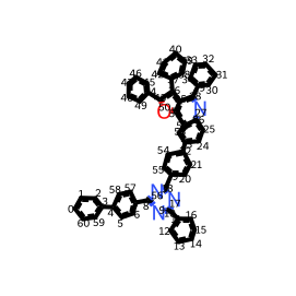 c1ccc(-c2ccc(-c3nc(-c4ccccc4)nc(-c4ccc(-c5ccc6nc(-c7ccccc7)c7c(-c8ccccc8)c(-c8ccccc8)oc7c6c5)cc4)n3)cc2)cc1